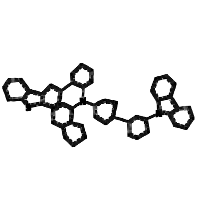 c1cc(-c2ccc(N(c3ccccc3-c3ccc4sc5ccccc5c4c3)c3cccc4ccccc34)cc2)cc(-n2c3ccccc3c3ccccc32)c1